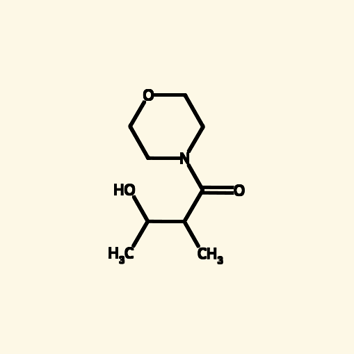 CC(O)C(C)C(=O)N1CCOCC1